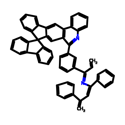 C=C/C(=N\C(=C/C(=C)c1ccccc1)c1ccccc1)c1cccc(-c2nc3ccccc3c3cc4c(cc23)C2(c3ccccc3-c3ccccc32)c2ccccc2-4)c1